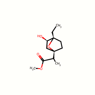 CC[C@]12CC[C@](C(C)C(=O)OC)(C[C@H]1O)O2